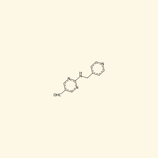 O=Cc1cnc(NCc2ccncc2)nc1